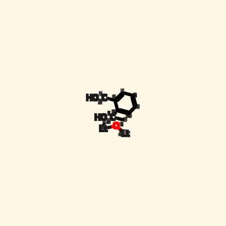 CC(=O)O.CCOCC.O=C(O)c1ccccc1